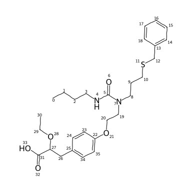 CCCCNC(=O)N(CCCSCc1ccccc1)CCOc1ccc(CC(OCC)C(=O)O)cc1